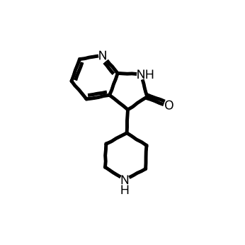 O=C1Nc2ncccc2C1C1CCNCC1